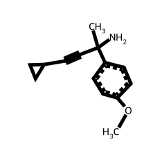 COc1ccc(C(C)(N)C#CC2CC2)cc1